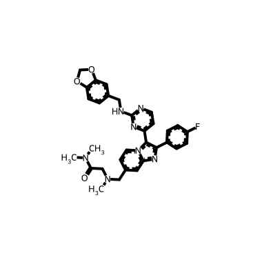 CN(CC(=O)N(C)C)Cc1ccn2c(-c3ccnc(NCc4ccc5c(c4)OCO5)n3)c(-c3ccc(F)cc3)nc2c1